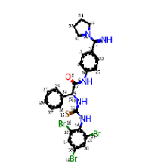 N=C(c1ccc(NC(=O)[C@@H](NC(=S)Nc2c(Br)cc(Br)cc2Br)c2ccccc2)cc1)N1CCCC1